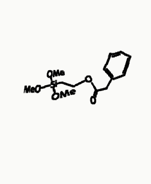 CO[Si](CCOC(=O)Cc1ccccc1)(OC)OC